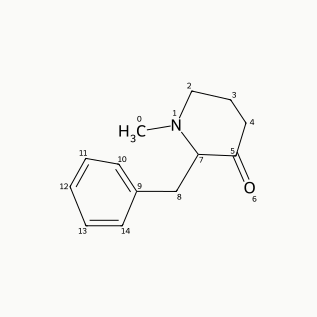 CN1CCCC(=O)C1Cc1ccccc1